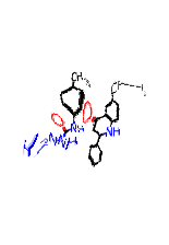 Cc1ccc(NC(=O)NN)cc1.Cc1ccc2c(c1)C(=O)CC(c1ccccc1)N2